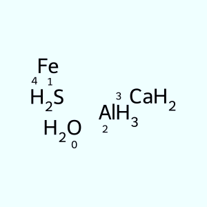 O.S.[AlH3].[CaH2].[Fe]